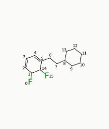 FC1C=CC=C(CCC2CCCCC2)C1F